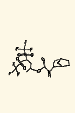 CC(CC(S(=O)(=O)C(F)(F)F)S(=O)(=O)C(F)(F)F)OC(=O)NC1CC2CCC1C2